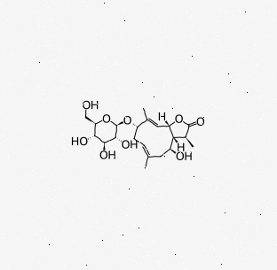 C/C1=C\C[C@H](O[C@@H]2O[C@H](CO)[C@@H](O)[C@H](O)[C@H]2O)/C(C)=C/[C@@H]2OC(=O)[C@@H](C)[C@@H]2[C@@H](O)C1